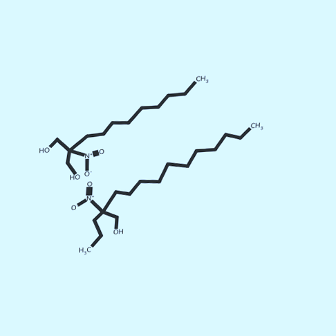 CCCCCCCCCC(CO)(CO)[N+](=O)[O-].CCCCCCCCCCCC(CO)(CCC)[N+](=O)[O-]